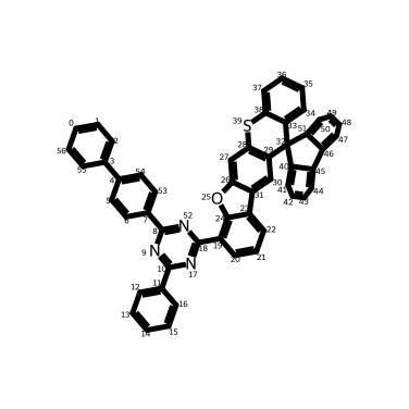 c1ccc(-c2ccc(-c3nc(-c4ccccc4)nc(-c4cccc5c4oc4cc6c(cc45)C4(c5ccccc5S6)c5ccccc5-c5ccccc54)n3)cc2)cc1